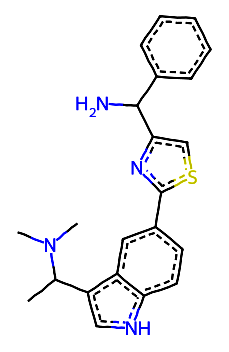 CC(c1c[nH]c2ccc(-c3nc(C(N)c4ccccc4)cs3)cc12)N(C)C